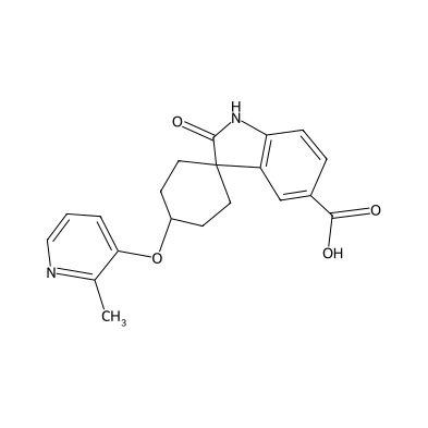 Cc1ncccc1OC1CCC2(CC1)C(=O)Nc1ccc(C(=O)O)cc12